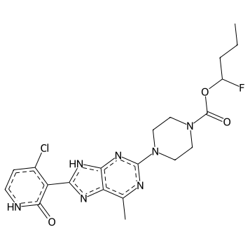 CCCC(F)OC(=O)N1CCN(c2nc(C)c3nc(-c4c(Cl)cc[nH]c4=O)[nH]c3n2)CC1